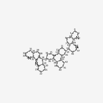 c1cnc2c(c1)ccc1c(-c3ccc4c5ccc(-c6c7ccccc7nc7c6ccc6cccnc67)cc5c5ccccc5c4c3)ccnc12